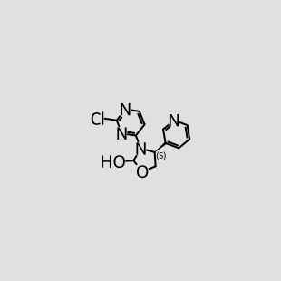 OC1OC[C@H](c2cccnc2)N1c1ccnc(Cl)n1